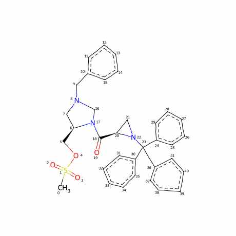 CS(=O)(=O)OC[C@H]1CN(Cc2ccccc2)CN1C(=O)[C@H]1CN1C(c1ccccc1)(c1ccccc1)c1ccccc1